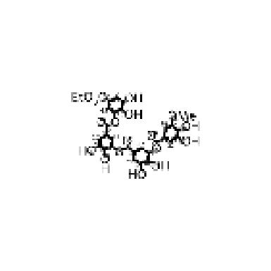 CCOC(=O)c1cc(O)c(O)c(OC(=O)c2cc(O)c(O)c(OC(=O)c3cc(O)c(O)c(OC(=O)c4cc(O)c(O)c(OC)c4)c3)c2)c1